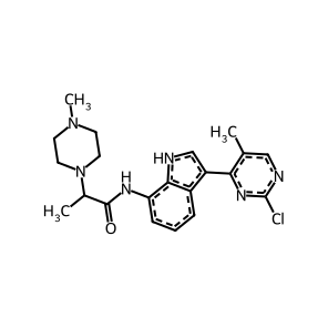 Cc1cnc(Cl)nc1-c1c[nH]c2c(NC(=O)C(C)N3CCN(C)CC3)cccc12